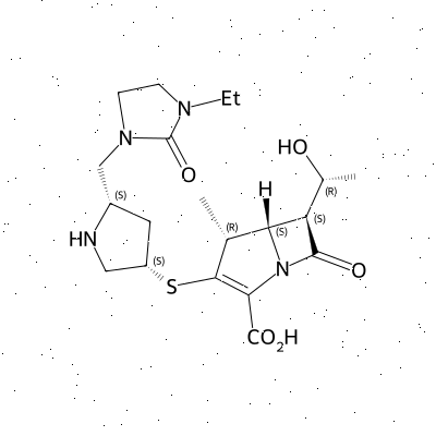 CCN1CCN(C[C@@H]2C[C@H](SC3=C(C(=O)O)N4C(=O)[C@H]([C@@H](C)O)[C@H]4[C@H]3C)CN2)C1=O